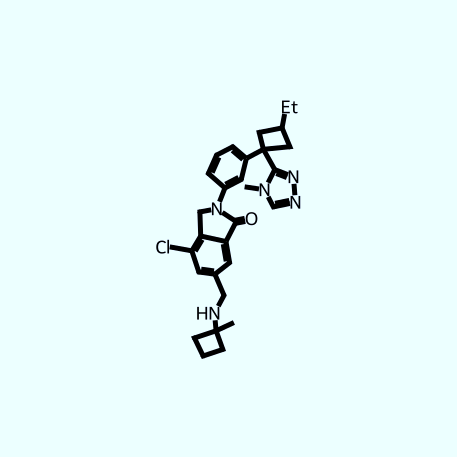 CCC1CC(c2cccc(N3Cc4c(Cl)cc(CNC5(C)CCC5)cc4C3=O)c2)(c2nncn2C)C1